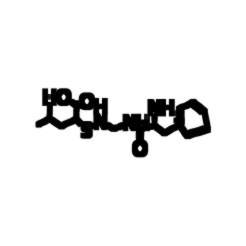 CC(C)CC(SNCNC(=O)[C@@H](N)Cc1ccccc1)C(=O)O